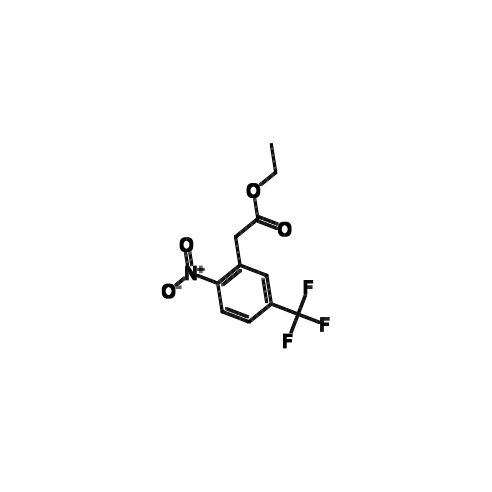 CCOC(=O)Cc1cc(C(F)(F)F)ccc1[N+](=O)[O-]